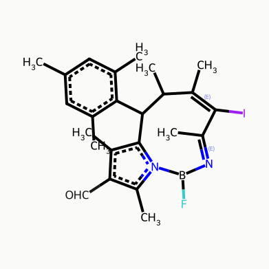 CC1=N\B(F)n2c(C)c(C=O)c(C)c2C(c2c(C)cc(C)cc2C)C(C)/C(C)=C\1I